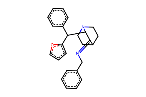 c1ccc(CN=C2C3CCN(CC3)C2C(c2ccccc2)c2ccco2)cc1